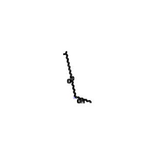 CCCCCC[C@@H](O)C/C=C\CCCCCCCC(=O)OCCCCCCCCCCCCC(C)C